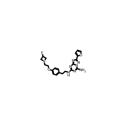 Nc1nc(NCCc2ccc(OCCN3CC(F)C3)cc2)nc2nc(-c3ccco3)nn12